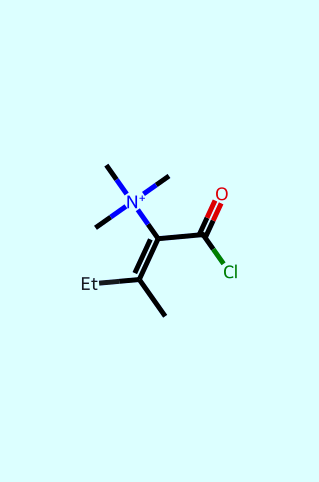 CCC(C)=C(C(=O)Cl)[N+](C)(C)C